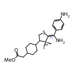 COC(=O)CC1CCC(C2CS/C(=C(/N)c3ccc(N)cc3)[C@]2(C)I)CC1